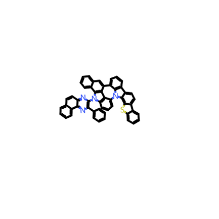 c1ccc(-c2nc3c(ccc4ccccc43)nc2-n2c3cccc4c3c3c(cc5ccccc5c32)c2cccc3c5ccc6c7ccccc7sc6c5n4c23)cc1